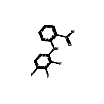 O=[N+]([O-])c1ccccc1Nc1ccc(F)c(F)c1F